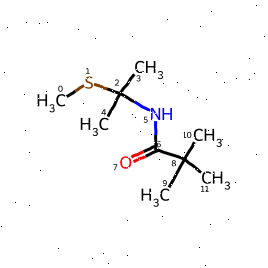 CSC(C)(C)NC(=O)C(C)(C)C